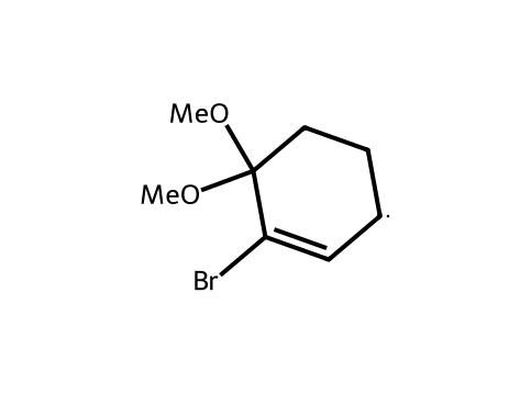 COC1(OC)CC[CH]C=C1Br